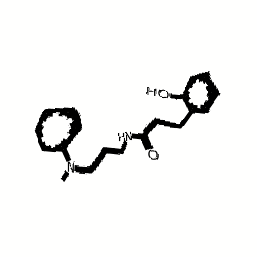 CN(CCCNC(=O)CCc1ccccc1O)c1ccccc1